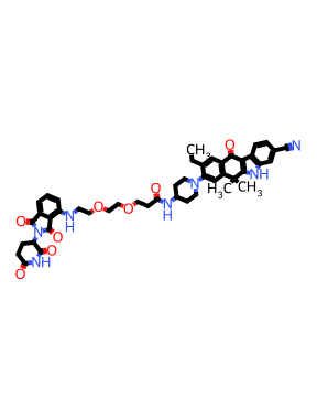 CCc1cc2c(cc1N1CCC(NC(=O)CCOCCOCCNc3cccc4c3C(=O)N(C3CCC(=O)NC3=O)C4=O)CC1)C(C)(C)c1[nH]c3cc(C#N)ccc3c1C2=O